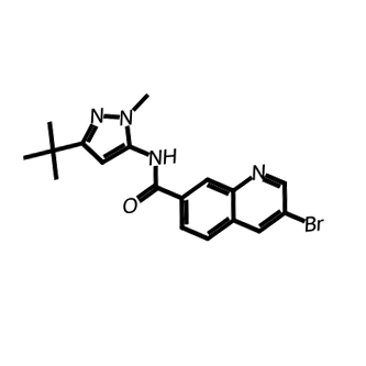 Cn1nc(C(C)(C)C)cc1NC(=O)c1ccc2cc(Br)cnc2c1